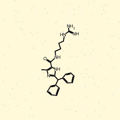 Cc1nc(C(c2ccccc2)c2ccccc2)[nH]c1C(=O)NCCCCNC(=N)N